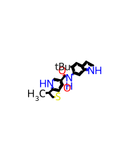 CC1CSc2c1[nH]cc(C(=O)Nc1cc3[nH]ccc3cc1C(C)(C)C)c2=O